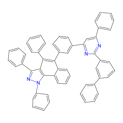 c1ccc(-c2cccc(-c3nc(-c4ccccc4)cc(-c4cccc(-c5c(-c6ccccc6)c6c(-c7ccccc7)nn(-c7ccccc7)c6c6ccccc56)c4)n3)c2)cc1